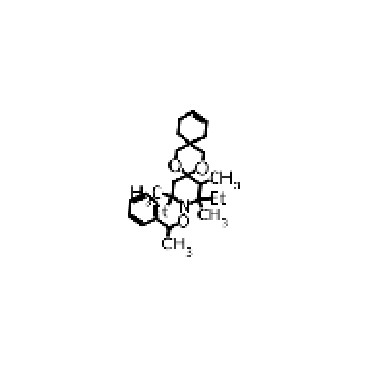 CCC1(C)CC2(OCC3(CC=CCC3)CO2)C(C)C(C)(CC)N1OC(C)c1ccccc1